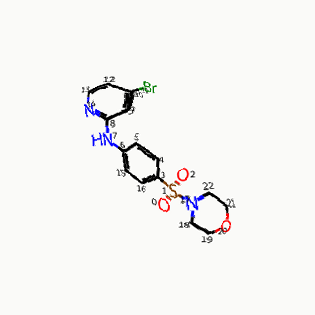 O=S(=O)(c1ccc(Nc2cc(Br)ccn2)cc1)N1CCOCC1